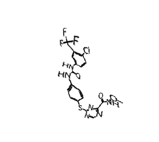 CONC(=O)c1ncnc(Sc2ccc(NC(=O)Nc3ccc(Cl)c(C(F)(F)F)c3)cc2)n1